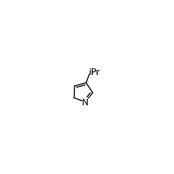 CC(C)C1=CCN=C1